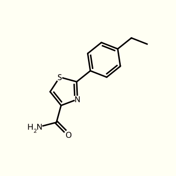 CCc1ccc(-c2nc(C(N)=O)cs2)cc1